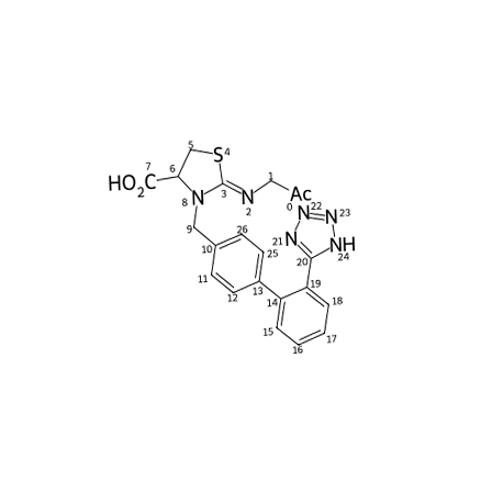 CC(=O)CN=C1SCC(C(=O)O)N1Cc1ccc(-c2ccccc2-c2nnn[nH]2)cc1